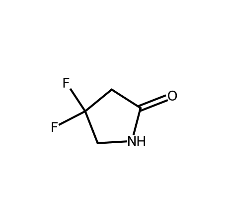 O=C1CC(F)(F)CN1